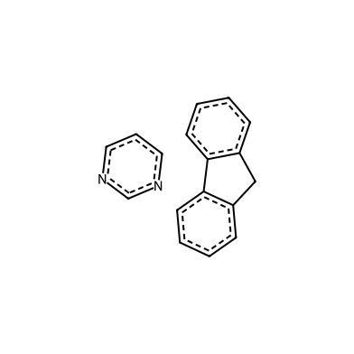 c1ccc2c(c1)Cc1ccccc1-2.c1cncnc1